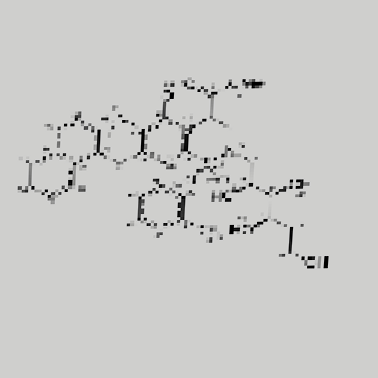 COC(=O)C1CN(C[C@H](O)[C@@H](O)[C@H](O)CCO)S(=O)(=O)c2c(-c3cccc(C(F)(F)F)c3)c(Cc3cccc4ccccc34)c(N)c(=O)n21